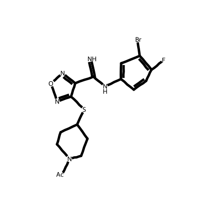 CC(=O)N1CCC(Sc2nonc2C(=N)Nc2ccc(F)c(Br)c2)CC1